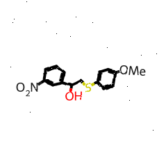 COc1ccc(SCC(O)c2cccc([N+](=O)[O-])c2)cc1